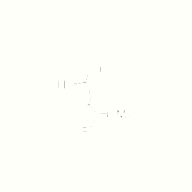 CCCC(O)OCC(CC)OC